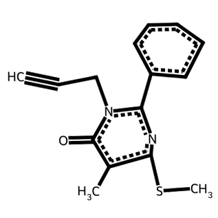 C#CCn1c(-c2ccccc2)nc(SC)c(C)c1=O